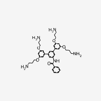 NCCCOc1cc(OCCCN)cc(-c2cc(NC(=O)c3ccccc3)cc(-c3cc(OCCCN)cc(OCCCN)c3)c2)c1